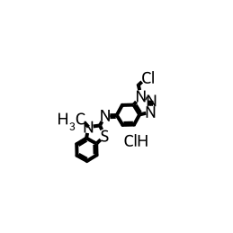 CN1c2ccccc2SC1N=C1C=Cc2nnn(CCl)c2C1.Cl